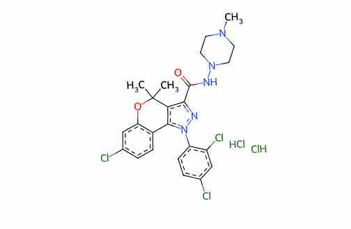 CN1CCN(NC(=O)c2nn(-c3ccc(Cl)cc3Cl)c3c2C(C)(C)Oc2cc(Cl)ccc2-3)CC1.Cl.Cl